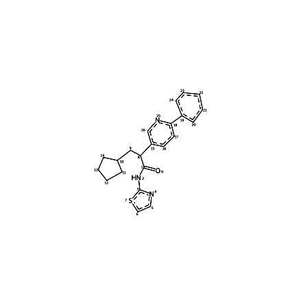 O=C(Nc1nccs1)C(CC1CCCC1)c1ccc(-c2ccccc2)nc1